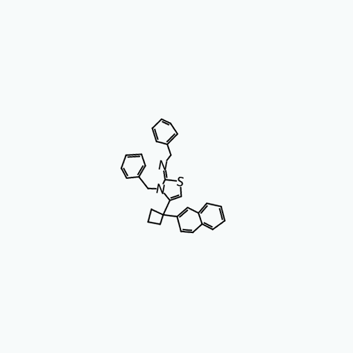 c1ccc(C/N=c2\scc(C3(c4ccc5ccccc5c4)CCC3)n2Cc2ccccc2)cc1